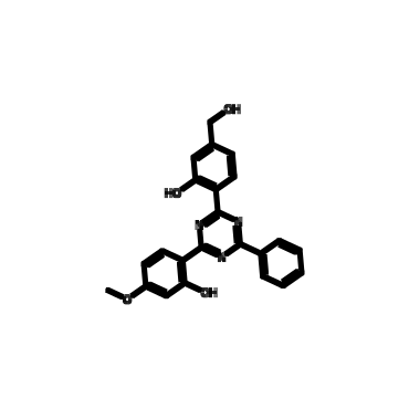 COc1ccc(-c2nc(-c3ccccc3)nc(-c3ccc(CO)cc3O)n2)c(O)c1